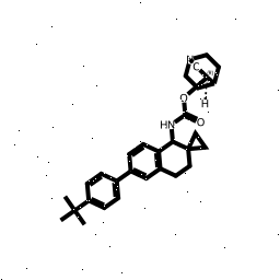 CC(C)(C)c1ccc(-c2ccc3c(c2)CCC2(CC2)C3NC(=O)O[C@H]2CN3CCC2CC3)cc1